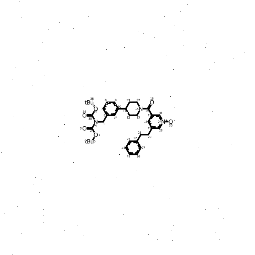 CC(C)(C)OC(=O)N(Cc1cccc(C2CCN(C(=O)c3cc(CCc4ccccc4)c[n+]([O-])c3)CC2)c1)C(=O)OC(C)(C)C